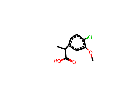 COc1cc(C(C)C(=O)O)ccc1Cl